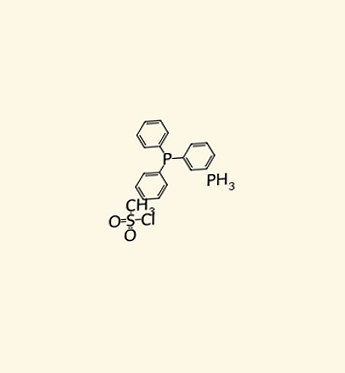 CS(=O)(=O)Cl.P.c1ccc(P(c2ccccc2)c2ccccc2)cc1